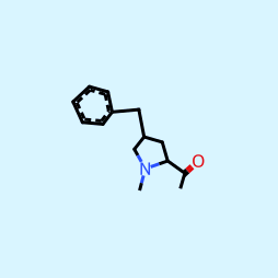 CC(=O)C1CC(Cc2ccccc2)CN1C